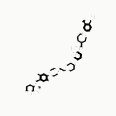 Cc1cc(N2CCN(CCN3CCC(Oc4ccc(NC(=O)C5CCCN(c6ccc(C#N)c(C(F)(F)F)c6)CC5)nc4)CC3)CC2)c(F)cc1C(=O)N(C=O)C1CCC(=O)NC1=O